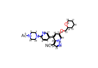 CC(=O)N1CCN(c2ccc(-c3cc(OCC4CCCCO4)cn4ncc(C#N)c34)cn2)CC1